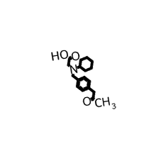 CC(=O)Cc1ccc(CN(CC(=O)O)C2CCCCC2)cc1